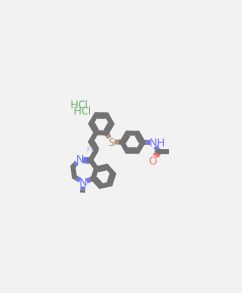 CC(=O)Nc1ccc(Sc2ccccc2/C=C/C2=NCCN(C)c3ccccc32)cc1.Cl.Cl